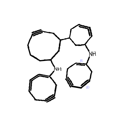 C1=C=C(NC2CCCC#CCC(C3CC=C=CC(N/C4=C/CC#C/C=C\C4)C3)C2)CC#CCC=1